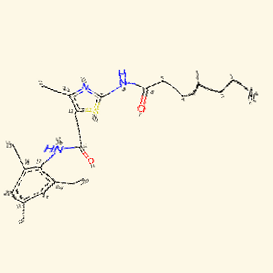 CC(=O)CCCCCC(=O)Nc1nc(C)c(C(=O)Nc2c(C)cc(C)cc2C)s1